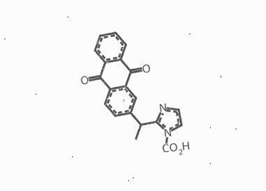 CC(c1ccc2c(c1)C(=O)c1ccccc1C2=O)c1nccn1C(=O)O